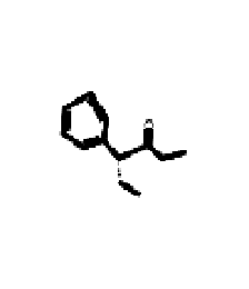 CCC(=O)[C@H](CC)c1ccccc1